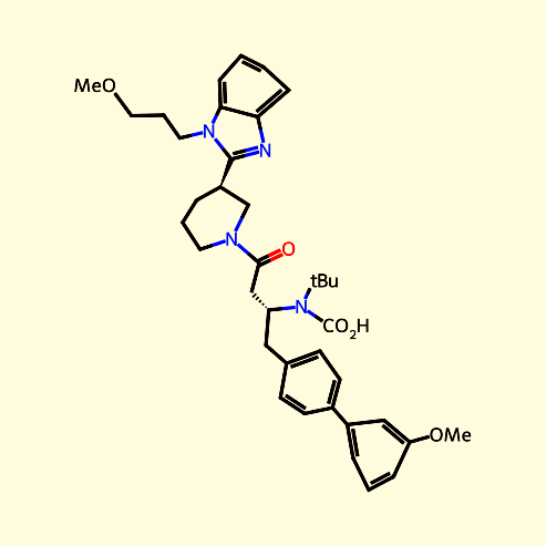 COCCCn1c([C@@H]2CCCN(C(=O)C[C@@H](Cc3ccc(-c4cccc(OC)c4)cc3)N(C(=O)O)C(C)(C)C)C2)nc2ccccc21